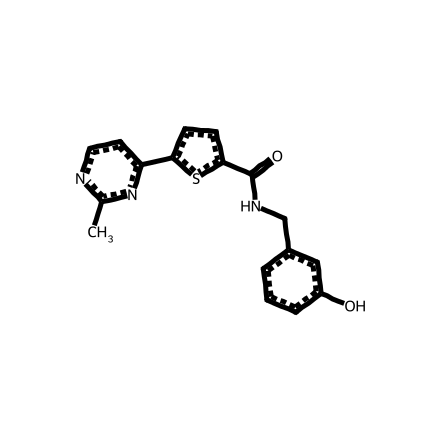 Cc1nccc(-c2ccc(C(=O)NCc3cccc(O)c3)s2)n1